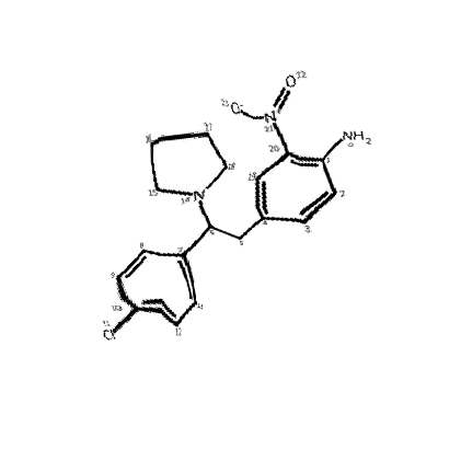 Nc1ccc(CC(c2ccc(Cl)cc2)N2CCCC2)cc1[N+](=O)[O-]